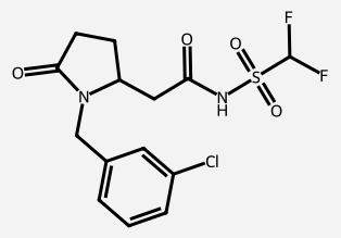 O=C(CC1CCC(=O)N1Cc1cccc(Cl)c1)NS(=O)(=O)C(F)F